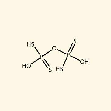 OP(=S)(S)OP(O)(=S)S